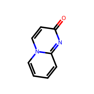 O=c1ccn2ccccc2n1